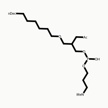 CCCCCCCCCCCCCCCCOCC(COP(O)OCCCNC)CC(C)=O